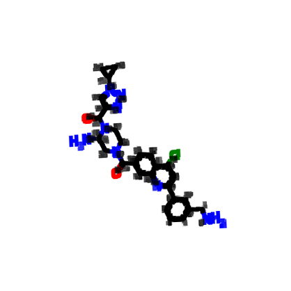 NCc1cccc(-c2cc(Cl)c3ccc(C(=O)N4CCN(C(=O)c5cn(C6CC6)nn5)[C@H](N)C4)cc3n2)c1